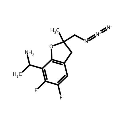 CC(N)c1c(F)c(F)cc2c1OC(C)(CN=[N+]=[N-])C2